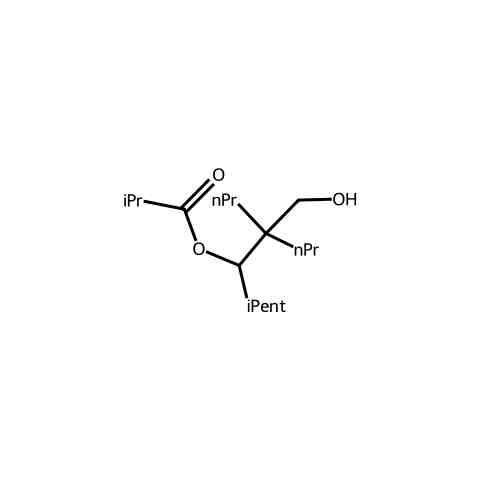 CCCC(C)C(OC(=O)C(C)C)C(CO)(CCC)CCC